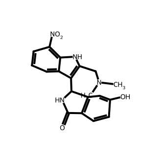 CN(C)Cc1[nH]c2c([N+](=O)[O-])cccc2c1C1NC(=O)c2ccc(O)cc21